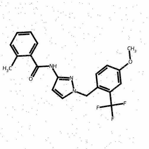 COc1ccc(Cn2ccc(NC(=O)c3ccccc3C)n2)c(C(F)(F)F)c1